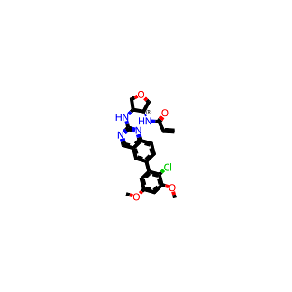 C=CC(=O)N[C@H]1COCC1Nc1ncc2cc(-c3cc(OC)cc(OC)c3Cl)ccc2n1